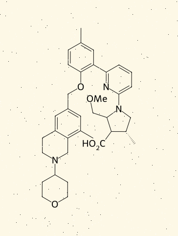 COCC1C(C(=O)O)[C@@H](C)CN1c1cccc(-c2cc(C)ccc2OCc2cc(C)c3c(c2)CCN(C2CCOCC2)C3)n1